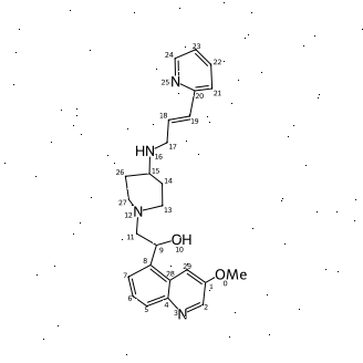 COc1cnc2cccc(C(O)CN3CCC(NCC=Cc4ccccn4)CC3)c2c1